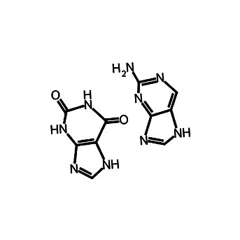 Nc1ncc2[nH]cnc2n1.O=c1[nH]c(=O)c2[nH]cnc2[nH]1